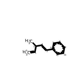 C=CC(C)C=Cc1ccccc1